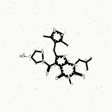 Cc1noc(C)c1Cc1sc2c(c1C(=O)N1C[C@H](O)CO1)c(=O)n(C)c(=O)n2CC(C)C